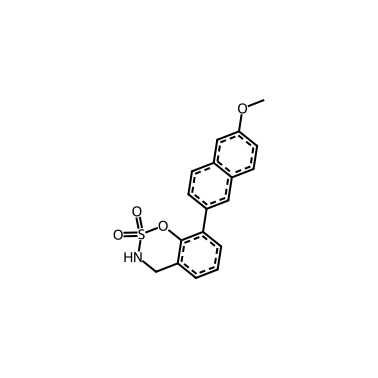 COc1ccc2cc(-c3cccc4c3OS(=O)(=O)NC4)ccc2c1